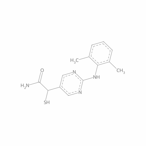 Cc1cccc(C)c1Nc1ncc(C(S)C(N)=O)cn1